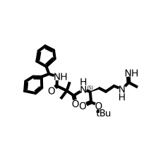 CC(=N)NCCC[C@H](NC(=O)C(C)(C)C(=O)NC(c1ccccc1)c1ccccc1)C(=O)OC(C)(C)C